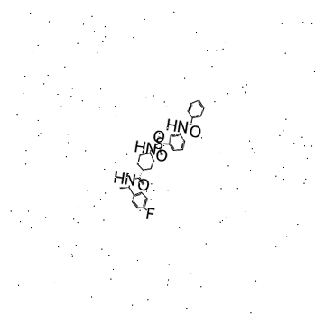 C[C@@H](NC(=O)[C@H]1CC[C@H](NS(=O)(=O)c2cccc(NC(=O)c3ccccc3)c2)CC1)c1ccc(F)cc1